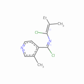 CC/C(C)=C(Cl)/N=C(/Cl)c1ccncc1C